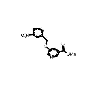 COC(=O)c1cncc(SCc2cccc([N+](=O)[O-])c2)c1